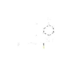 CC(=O)c1ccc(NC(=S)SCCC(=O)O)c(C(C)=O)c1C(C)=O